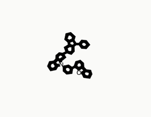 c1ccc(C2c3ccccc3-c3cc(-c4ccc5c6ccccc6n(-c6cccc(-c7cccc8c7oc7ccccc78)c6)c5c4)ccc32)cc1